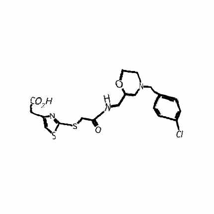 O=C(O)Cc1csc(SCC(=O)NCC2CN(Cc3ccc(Cl)cc3)CCO2)n1